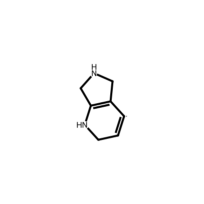 [C]1=CCNC2=C1CNC2